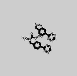 CN(Cc1ccc(-c2nncnn2)cc1)C(=O)OC(C)(C)C.CNCc1ccc(-c2nncnn2)cc1